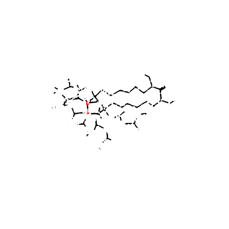 CCC(CCCCCCC(OC(C)OC(C)OC)(OC(C)OC(C)OC)OC(C)OC(C)OC)C(=O)C(CC)CCCCCCC(OC(C)OC(C)OC)(OC(C)OC(C)OC)OC(C)OC(C)OC